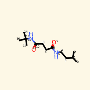 CC(C)CCNC(=O)CCC(=O)NC(C)(C)C